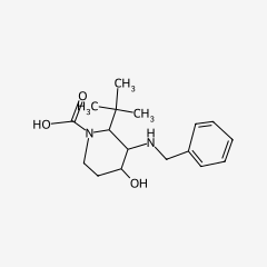 CC(C)(C)C1C(NCc2ccccc2)C(O)CCN1C(=O)O